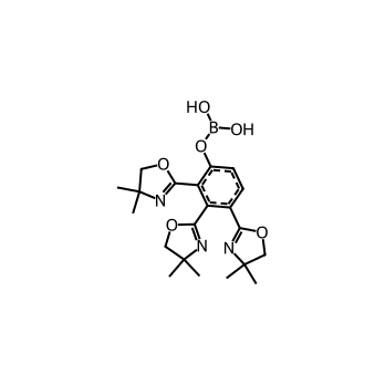 CC1(C)COC(c2ccc(OB(O)O)c(C3=NC(C)(C)CO3)c2C2=NC(C)(C)CO2)=N1